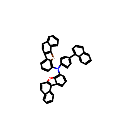 c1ccc2c(-c3ccc(N(c4cccc5c4oc4ccc6ccccc6c45)c4cccc5c4sc4c6ccccc6ccc54)cc3)cccc2c1